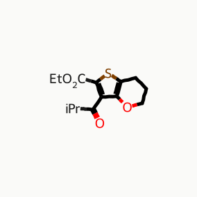 CCOC(=O)c1sc2c(c1C(=O)C(C)C)OCCC2